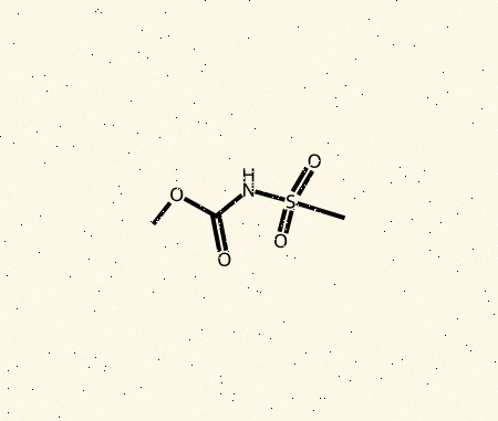 COC(=O)NS(C)(=O)=O